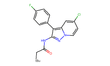 CC(C)(C)CC(=O)Nc1nn2ccc(Cl)cc2c1-c1ccc(F)cc1